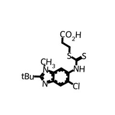 Cn1c(C(C)(C)C)nc2cc(Cl)c(NC(=S)SCCC(=O)O)cc21